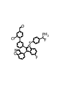 O=Cc1ccc(-c2cccc(-c3c(-c4cccc5oncc45)c4cc(F)ccc4n3Sc3ccc(C(F)P)cc3)c2)c(Cl)c1